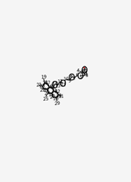 CO[Si](C)(C)OCCOCCOCCOc1c2cc(C)c(C)cc2c(C)c2cc(C)c(C)cc12